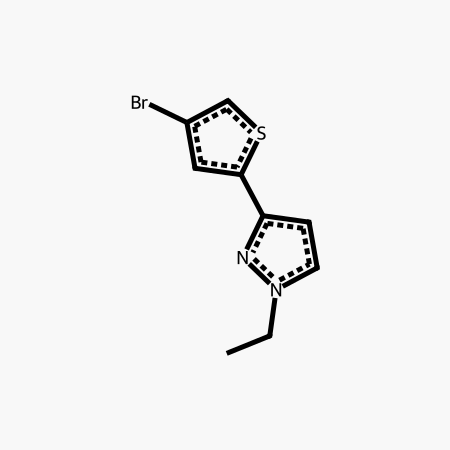 CCn1ccc(-c2cc(Br)cs2)n1